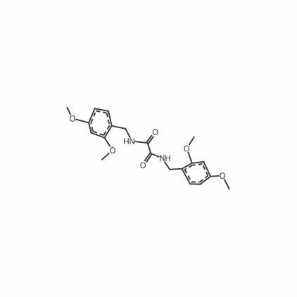 COc1ccc(CNC(=O)C(=O)NCc2ccc(OC)cc2OC)c(OC)c1